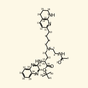 CC(=O)NCCN(CCCCc1ccc2c(n1)NCCC2)CC[C@H](Nc1cnc2ccccc2n1)C(=O)OC(C)(C)C